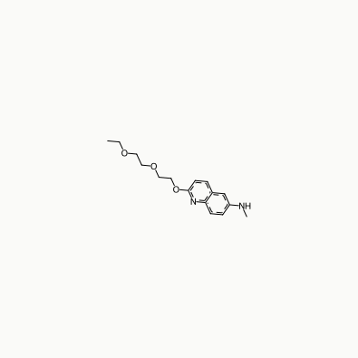 CCOCCOCCOc1ccc2cc(NC)ccc2n1